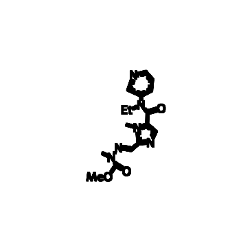 CCN(C(=O)c1cnc(C=NN(C)C(=O)OC)n1C)c1cccnc1